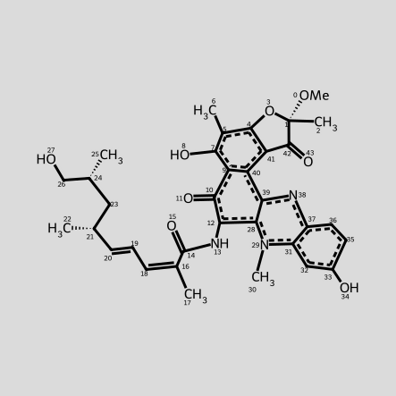 CO[C@@]1(C)Oc2c(C)c(O)c3c(=O)c(NC(=O)/C(C)=C\C=C\[C@H](C)C[C@@H](C)CO)c4n(C)c5cc(O)ccc5nc-4c3c2C1=O